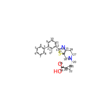 Cc1c(-c2ccccc2)cccc1-c1nc2c(s1)CN(C[C@@H]1C[C@H]1C(=O)O)CC2